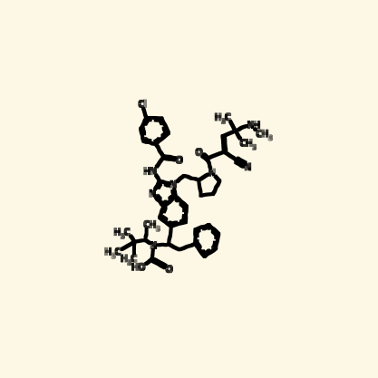 CNC(C)(C)C=C(C#N)C(=O)N1CCCC1Cn1c(NC(=O)c2ccc(Cl)cc2)nc2cc(C(Cc3ccccc3)N(C(=O)O)C(C)C(C)(C)C)ccc21